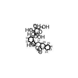 OC[C@H]1O[C@H](O)[C@@](O)(Oc2cccc3[nH]cc(CC(Cc4ccccc4)C4=COCO4)c23)[C@@H](O)[C@@H]1O